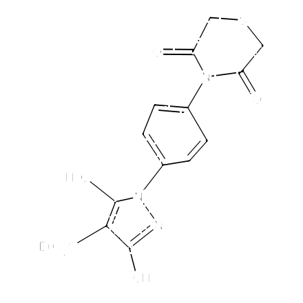 CCOC(=O)c1c(C)nn(-c2ccc(N3C(=O)CSCC3=O)cc2)c1C